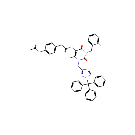 CC(=O)Nc1ccc(CC(=O)Nc2c(N)n(Cc3ncn(C(c4ccccc4)(c4ccccc4)c4ccccc4)n3)c(=O)n(Cc3ccccc3F)c2=O)cc1